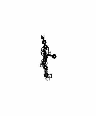 CN1C(=O)C(c2ccc(OCc3ccc(Cl)c(Cl)c3)cc2)Oc2cc3c(cc21)CC(C(=O)N[C@@H](Cc1ccc(-c2ccc(C#N)cc2)cc1)C(=O)O)N(CC#Cc1ccccc1)C3